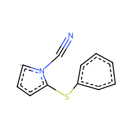 N#Cn1[c]ccc1Sc1ccccc1